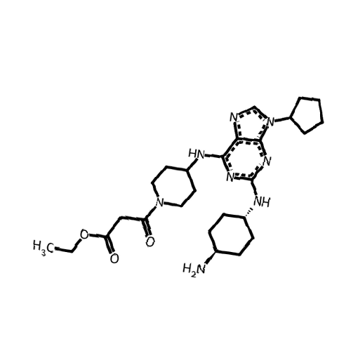 CCOC(=O)CC(=O)N1CCC(Nc2nc(N[C@H]3CC[C@H](N)CC3)nc3c2ncn3C2CCCC2)CC1